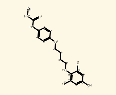 CCCNC(=O)Nc1ccc(OCCCCOc2c(Cl)cc(O)cc2Cl)cc1